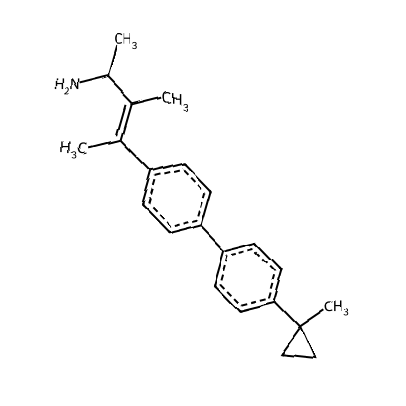 C/C(=C(/C)C(C)N)c1ccc(-c2ccc(C3(C)CC3)cc2)cc1